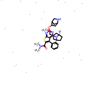 COCC1C[C@H]2CC[C@@H](C1)N2c1nc(OC2CC3CC2CN3)nc2sc(C(=O)N(C)C)c(-c3ccccc3)c12